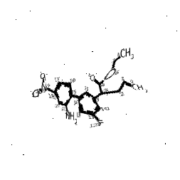 C=CCC(C(=O)OCC)c1cc(F)cc(-c2ccc([N+](=O)[O-])cc2N)c1